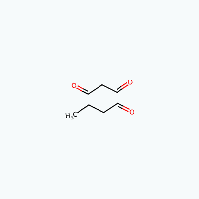 CCCC=O.O=CCC=O